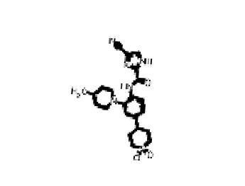 CC1CCN(c2cc(C3CCS(=O)(=O)CC3)ccc2NC(=O)c2nc(C#N)c[nH]2)CC1